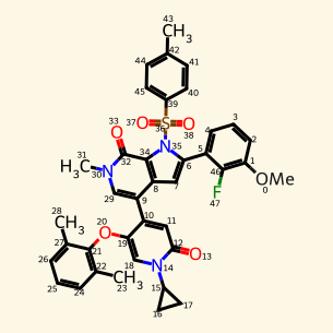 COc1cccc(-c2cc3c(-c4cc(=O)n(C5CC5)cc4Oc4c(C)cccc4C)cn(C)c(=O)c3n2S(=O)(=O)c2ccc(C)cc2)c1F